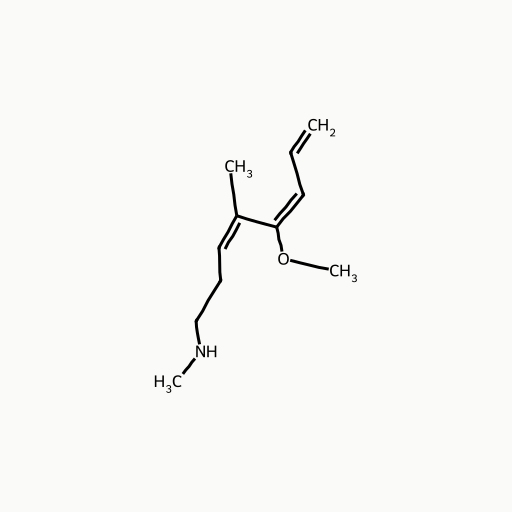 C=C/C=C(OC)\C(C)=C/CCNC